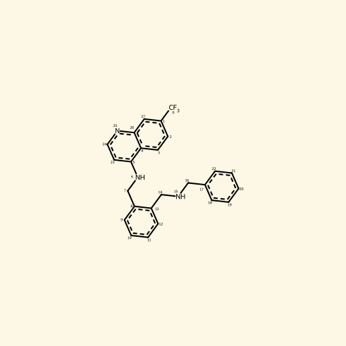 FC(F)(F)c1ccc2c(NCc3ccccc3CNCc3ccccc3)ccnc2c1